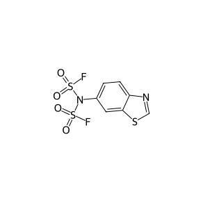 O=S(=O)(F)N(c1ccc2ncsc2c1)S(=O)(=O)F